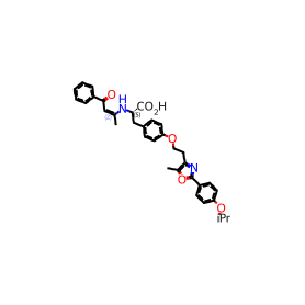 C/C(=C/C(=O)c1ccccc1)N[C@@H](Cc1ccc(OCCc2nc(-c3ccc(OC(C)C)cc3)oc2C)cc1)C(=O)O